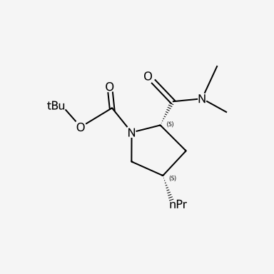 CCC[C@H]1C[C@@H](C(=O)N(C)C)N(C(=O)OC(C)(C)C)C1